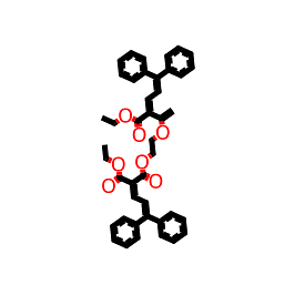 C=C(OCCOC(=O)/C(=C\C=C(c1ccccc1)c1ccccc1)C(=O)OCC)/C(=C\C=C(c1ccccc1)c1ccccc1)C(=O)OCC